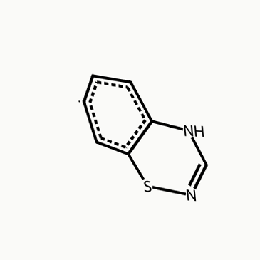 [c]1ccc2c(c1)SN=CN2